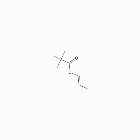 CC=COC(=O)C(C)(C)C